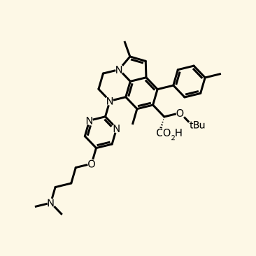 Cc1ccc(-c2c([C@H](OC(C)(C)C)C(=O)O)c(C)c3c4c2cc(C)n4CCN3c2ncc(OCCCN(C)C)cn2)cc1